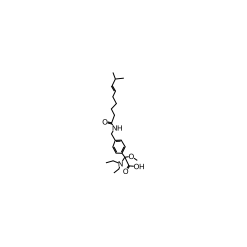 CCN(CC)C(OC)(C(=O)O)c1ccc(CNC(=O)CCCCC=CC(C)C)cc1